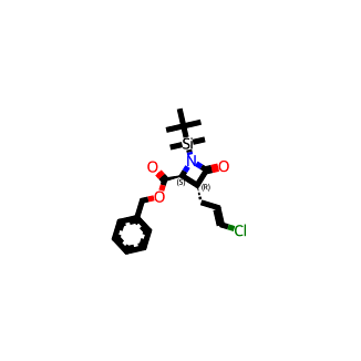 CC(C)(C)[Si](C)(C)N1C(=O)[C@H](CC=CCl)[C@H]1C(=O)OCc1ccccc1